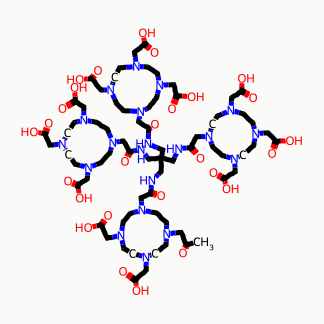 CC(=O)CN1CCN(CC(=O)O)CCN(CC(=O)O)CCN(CC(=O)NCC(CNC(=O)CN2CCN(CC(=O)O)CCN(CC(=O)O)CCN(CC(=O)O)CC2)(CNC(=O)CN2CCN(CC(=O)O)CCN(CC(=O)O)CCN(CC(=O)O)CC2)CNC(=O)CN2CCN(CC(=O)O)CCN(CC(=O)O)CCN(CC(=O)O)CC2)CC1